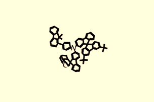 CC(C)(C)c1ccc2c(c1)-c1cc(C(C)(C)C)ccc1C21c2ccccc2-c2ccc(N(c3ccc(-c4cccc5c4C(C)(C)c4ccccc4-5)cc3)c3ccc4c(c3)C3(c5ccccc5-4)C4CC5CC(C4)CC3C5)cc21